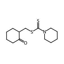 O=C1CCCCC1CSC(=S)N1CCCCC1